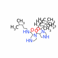 CC(C)CCCNC(=O)C1CNCCN1C(=O)C1CNCCN1C(=O)C(C)(C)C(C)(C)C(C)(C)C